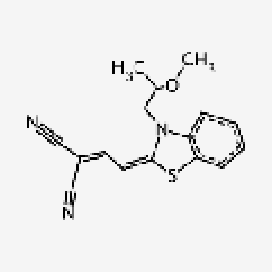 COC(C)CN1C(=CC=C(C#N)C#N)Sc2ccccc21